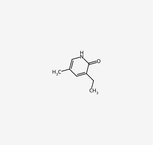 CCc1cc(C)c[nH]c1=O